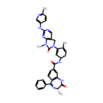 CC1=CCC(NC(=O)c2ccc3c(c2)NC(=O)[C@H](C)N=C3c2ccccc2)C=C1N1Cc2cnc(Nc3ccc(C)nc3)nc2N(C)C1=O